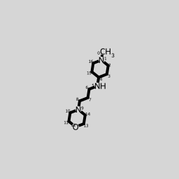 CN1CCC(NCCCN2CCOCC2)CC1